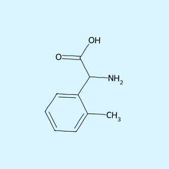 Cc1ccccc1C(N)C(=O)O